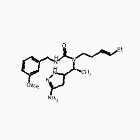 CC/C=C/CCN(C(=O)NCc1cccc(OC)c1)[C@@H](C)C1CC(N)=NN1